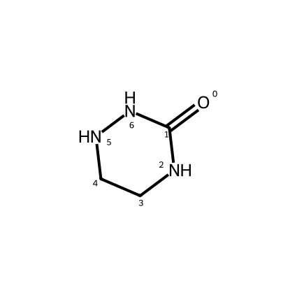 O=C1NCCNN1